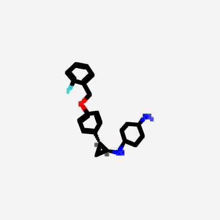 N[C@H]1CC[C@@H](N[C@H]2C[C@@H]2c2ccc(OCc3ccccc3F)cc2)CC1